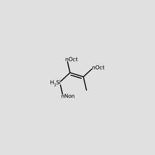 CCCCCCCCC[SiH2]C(CCCCCCCC)=C(C)CCCCCCCC